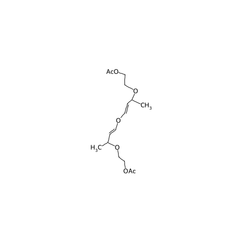 CC(=O)OCCOC(C)C=COC=CC(C)OCCOC(C)=O